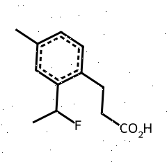 Cc1ccc(CCC(=O)O)c(C(C)F)c1